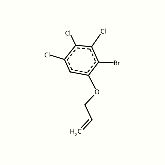 C=CCOc1cc(Cl)c(Cl)c(Cl)c1Br